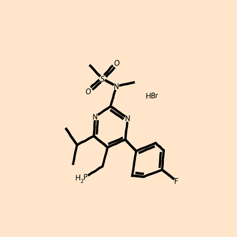 Br.CC(C)c1nc(N(C)S(C)(=O)=O)nc(-c2ccc(F)cc2)c1CP